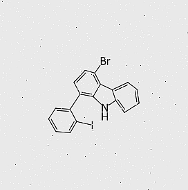 Brc1ccc(-c2ccccc2I)c2[nH]c3ccccc3c12